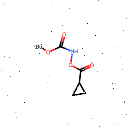 CC(C)(C)OC(=O)NOC(=O)C1CC1